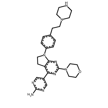 Nc1ncc(-c2nc(N3CCOCC3)nc3c2CCN3c2ccc(CCN3CCNCC3)cc2)cn1